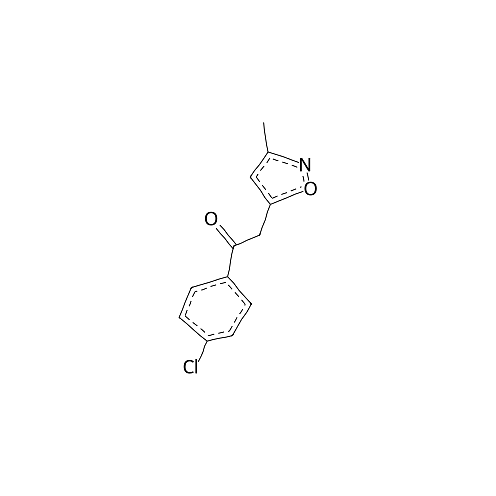 Cc1cc(CC(=O)c2ccc(Cl)cc2)on1